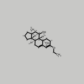 CCOC1=CC2=CC[C@H]3[C@@H]4CCC[C@@]4(C)CC(O)[C@@H]3[C@@]2(C)CC1